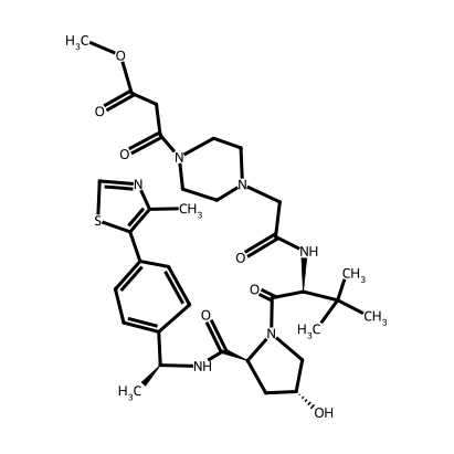 COC(=O)CC(=O)N1CCN(CC(=O)N[C@H](C(=O)N2C[C@H](O)C[C@H]2C(=O)N[C@@H](C)c2ccc(-c3scnc3C)cc2)C(C)(C)C)CC1